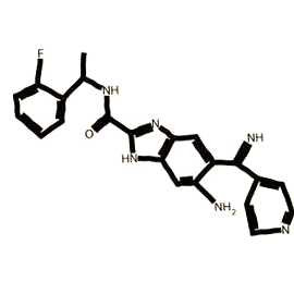 CC(NC(=O)c1nc2cc(C(=N)c3ccncc3)c(N)cc2[nH]1)c1ccccc1F